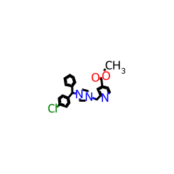 CCOC(=O)c1ccnc(CN2CCN(C(c3ccccc3)c3ccc(Cl)cc3)CC2)c1